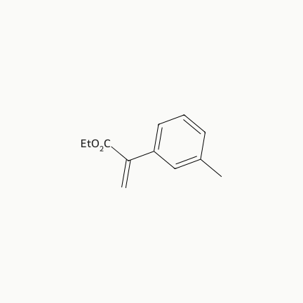 C=C(C(=O)OCC)c1cccc(C)c1